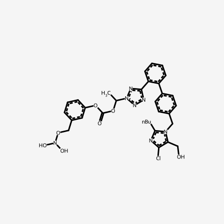 CCCCc1nc(Cl)c(CO)n1Cc1ccc(-c2ccccc2-c2nnn(C(C)OC(=O)Oc3cccc(CON(O)O)c3)n2)cc1